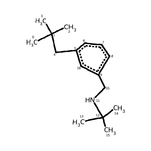 CC(C)(C)Cc1cccc(CNC(C)(C)C)c1